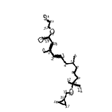 CC(C=CCC(C)CCCC(C)(C)OCC1CC1)=CC(=O)OCC=S